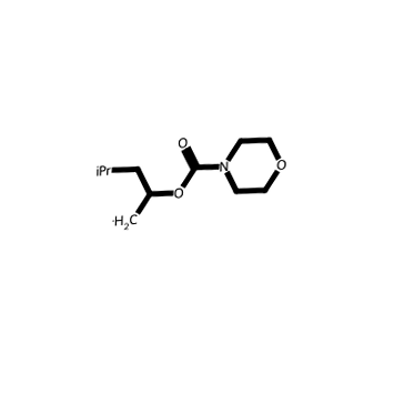 [CH2]C(CC(C)C)OC(=O)N1CCOCC1